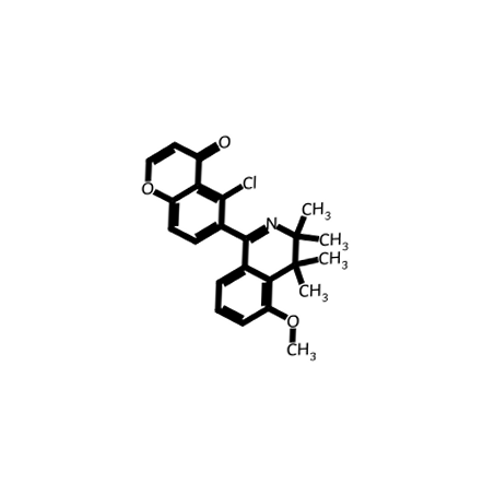 COc1cccc2c1C(C)(C)C(C)(C)N=C2c1ccc2occc(=O)c2c1Cl